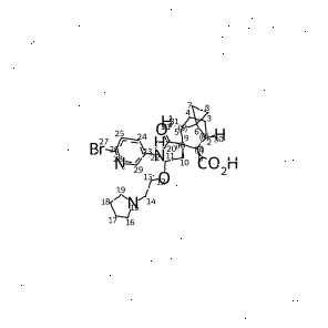 O=C(O)[C@@H]1[C@H]2CC[C@@H](C23CC3)[C@@]1(CCOCCN1CCCC1)C(=O)Nc1ccc(Br)nc1